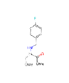 COC[C@H](NCc1ccc(F)cc1)C(=O)OC